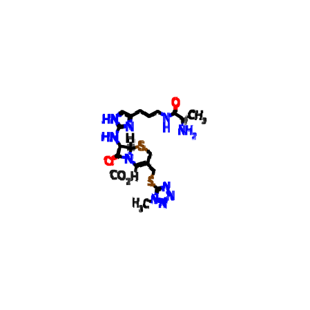 C[C@H](N)C(=O)NCCCc1c[nH]c(NC2C(=O)N3C(C(=O)O)=C(CSc4nnnn4C)CS[C@@H]23)n1